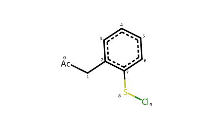 CC(=O)Cc1ccccc1SCl